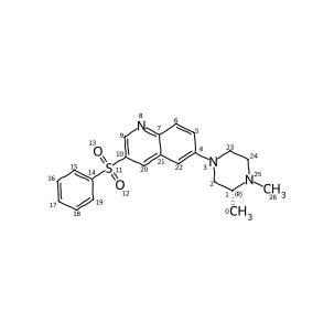 C[C@@H]1CN(c2ccc3ncc(S(=O)(=O)c4ccccc4)cc3c2)CCN1C